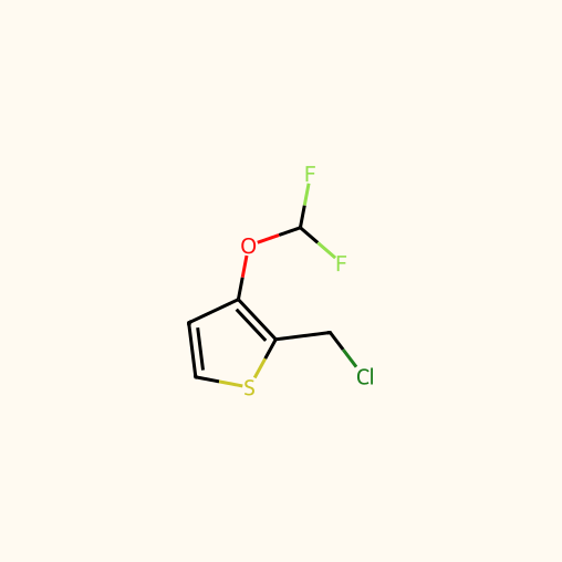 FC(F)Oc1ccsc1CCl